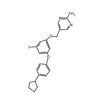 Cc1ncc(COc2cc(F)cc(Oc3[c]cc(C4CCCC4)cc3)c2)cn1